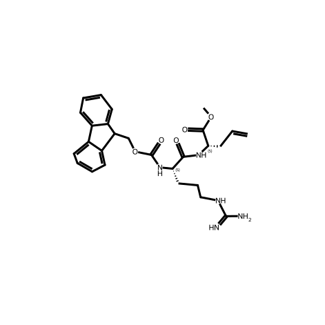 C=CC[C@H](NC(=O)[C@H](CCCNC(=N)N)NC(=O)OCC1c2ccccc2-c2ccccc21)C(=O)OC